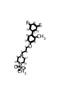 Cc1[c]c(OCCCN2CCN(S(C)(=O)=O)CC2)ccc1-c1cc(F)cc(F)c1